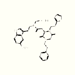 CCOC(=O)CN(CCc1c[nH]c2ccc(OC)cc12)C(=O)CC1C(=O)N(CCc2ccccc2)CC(=O)N1CCc1cccs1